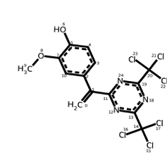 C=C(c1ccc(O)c(OC)c1)c1nc(C(Cl)(Cl)Cl)nc(C(Cl)(Cl)Cl)n1